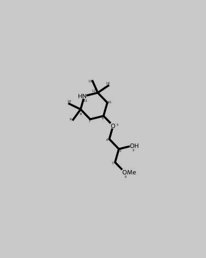 COCC(O)COC1CC(C)(C)NC(C)(C)C1